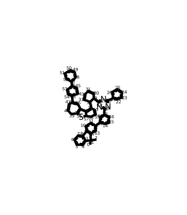 CC1(C)c2ccccc2-c2ccc(-c3cccc(-c4nc(-c5ccccc5)nc(C5C=CC=CC5C5=C6C7=C(CC=CC(c8ccc(-c9ccccc9)cc8)=C7)SC6CC=C5)n4)c3)cc21